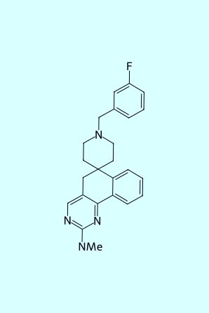 CNc1ncc2c(n1)-c1ccccc1C1(CCN(Cc3cccc(F)c3)CC1)C2